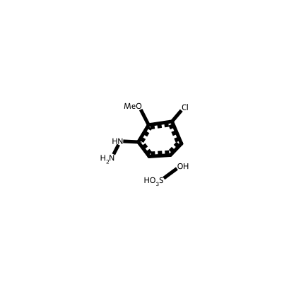 COc1c(Cl)cccc1NN.O=S(=O)(O)O